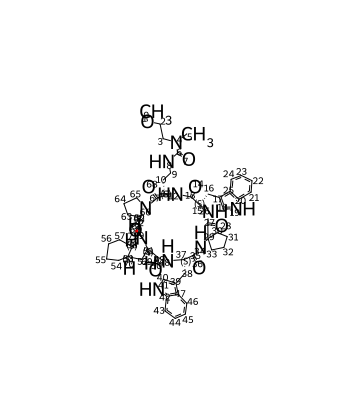 COCCN(C)C(=O)NCC[C@@H]1NC(=O)[C@H](Cc2c[nH]c3ccccc23)NC(=O)C2(CCCC2)NC(=O)[C@H](Cc2c[nH]c3ccccc23)NC(=O)[C@@H]2C[C@@H]3CCCC[C@@H]3N2C(=O)[C@H]2CCCN2C1=O